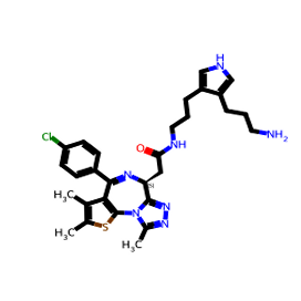 Cc1sc2c(c1C)C(c1ccc(Cl)cc1)=N[C@@H](CC(=O)NCCCc1c[nH]cc1CCCN)c1nnc(C)n1-2